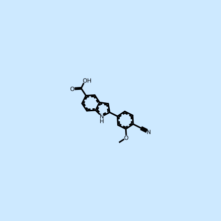 COc1cc(-c2cc3cc(C(=O)O)ccc3[nH]2)ccc1C#N